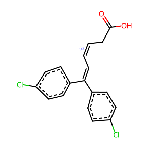 O=C(O)C/C=C\C=C(c1ccc(Cl)cc1)c1ccc(Cl)cc1